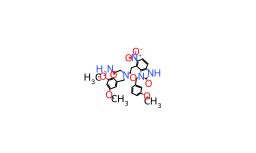 COc1cccc(Cn2c(=O)[nH]c3ccc([N+](=O)[O-])c(CC(=O)N(CC(N)=O)Cc4cc(OC)cc(OC)c4)c32)c1